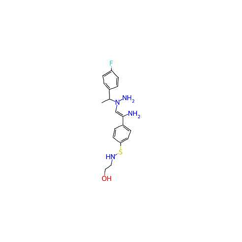 CC(c1ccc(F)cc1)N(N)/C=C(\N)c1ccc(SNCCO)cc1